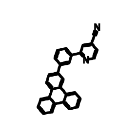 N#Cc1ccnc(-c2cccc(-c3ccc4c5ccccc5c5ccccc5c4c3)c2)c1